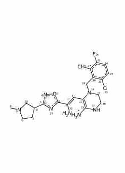 CN1CCC(c2noc(/C(N)=C/C3=C(N)NCCN3Cc3c(Cl)ccc(F)c3Cl)n2)C1